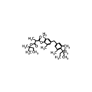 CCC(C)(CC)OC(=O)C(C)C(=O)Oc1c(C)cc(Cc2cc(C)c(C(C)(CC)CC)c(C)c2)cc1C